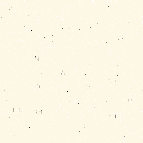 CC(C)(O)COc1cc(NN)nc(N2CCOCC2)n1